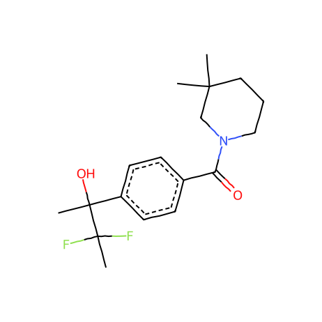 CC1(C)CCCN(C(=O)c2ccc(C(C)(O)C(C)(F)F)cc2)C1